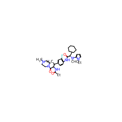 CCC(=O)N[C@@H](C(=O)N1CCN(C)CC1)[C@@H](C)c1ccc(NC(=O)[C@H](C2CCCCCC2)N(C=O)c2cccn2CC)c(F)c1